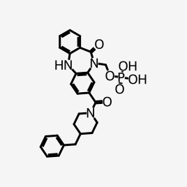 O=C(c1ccc2c(c1)N(COP(=O)(O)O)C(=O)c1ccccc1N2)N1CCC(Cc2ccccc2)CC1